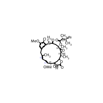 COc1cc2cc(c1Cl)N(C)C(=O)C[C@H](OC(=O)[C@H](C)N(C)C(C)C)C1(C)O[C@H]1[C@H](C)C1C[C@@](O)(NC(=O)O1)[C@H](OC)/C=C/C=C(\C)C2